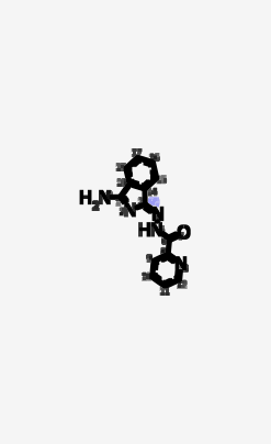 NC1=N/C(=N\NC(=O)c2ccccn2)c2ccccc21